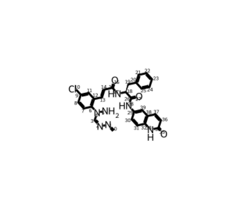 C=N/N=C\N(N)c1ccc(Cl)cc1/C=C/C(=O)N[C@@H](Cc1ccccc1)C(=O)Nc1ccc2[nH]c(=O)ccc2c1